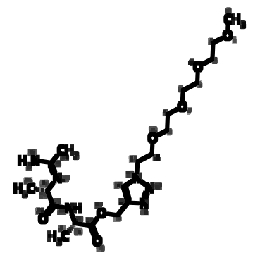 COCCOCCOCCOCCn1cc(COC(=O)[C@H](C)NC(=O)[C@H](C)N=C(C)N)nn1